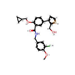 COc1ccc(CNC(=O)c2cc(-c3ccsc3CO)ccc2OCC2CC2)cc1F